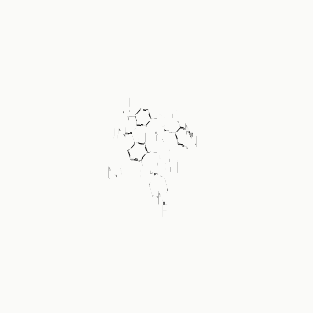 CCN1CCC2(CC1)OCc1cc(C(=N)c3cc(O[C@H](N)c4c(C)cnnc4C)ccc3N)cc(C#N)c1O2